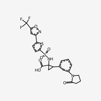 O=C1CCCN1c1cccc(C2CC2(NS(=O)(=O)c2ccc(-c3cc(C(F)(F)F)on3)s2)C(=O)O)c1